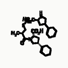 CC(=O)SCC(C)C(=O)N1C[C@@H](C2=CCCCC2)C[C@H]1C(=O)O.O=C(O)[C@@H]1CC(C2=CCCCC2)CN1